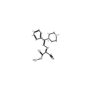 COC(=O)C(C#N)=NC=C(c1ccccc1)N1CCOCC1